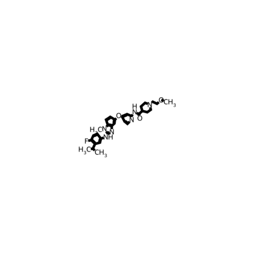 COCCN1CCC(C(=O)Nc2cc(Oc3ccc4c(c3)nc(Nc3ccc(F)c(C(C)C)c3)n4C)ccn2)CC1